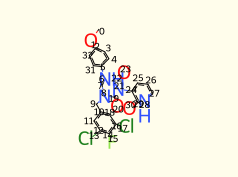 COc1ccc(NCN(Cc2cc(Cl)c(F)c(Cl)c2)C(=O)N(C=O)c2ccc[nH]c2=O)cc1